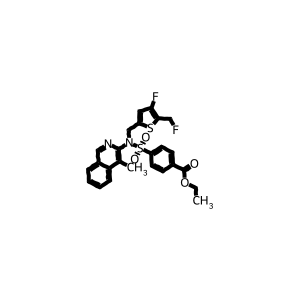 CCOC(=O)c1ccc(S(=O)(=O)N(Cc2cc(F)c(CF)s2)c2ncc3ccccc3c2C)cc1